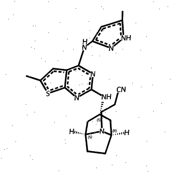 Cc1cc(Nc2nc(N[C@@H]3C[C@H]4CC[C@@H](C3)N4CCC#N)nc3sc(C)cc23)n[nH]1